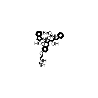 CC(C)CNCCOc1ccc(CC(CC(O)C(Cc2ccccc2)NC(=O)OC(C)(C)C)C(=O)NC2c3ccccc3CC2O)cc1